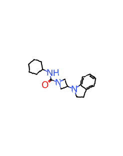 O=C(NC1CCCCC1)N1CC(N2CCc3ccccc32)C1